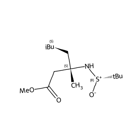 CC[C@H](C)C[C@@](C)(CC(=O)OC)N[S@@+]([O-])C(C)(C)C